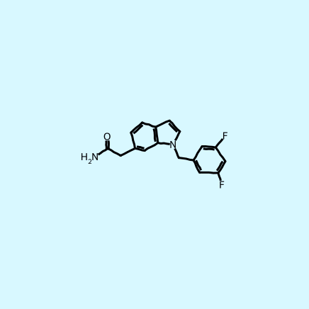 NC(=O)Cc1ccc2ccn(Cc3cc(F)cc(F)c3)c2c1